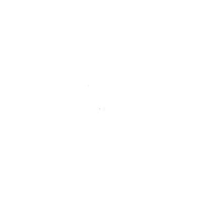 O=C(OCC1CCCCO1)C1CC1